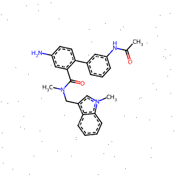 CC(=O)Nc1cccc(-c2ccc(N)cc2C(=O)N(C)Cc2cn(C)c3ccccc23)c1